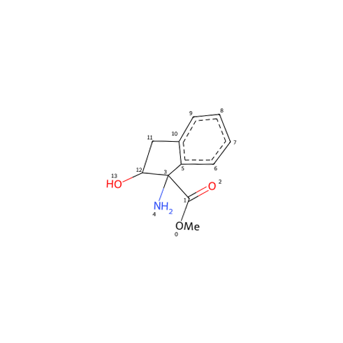 COC(=O)C1(N)c2ccccc2CC1O